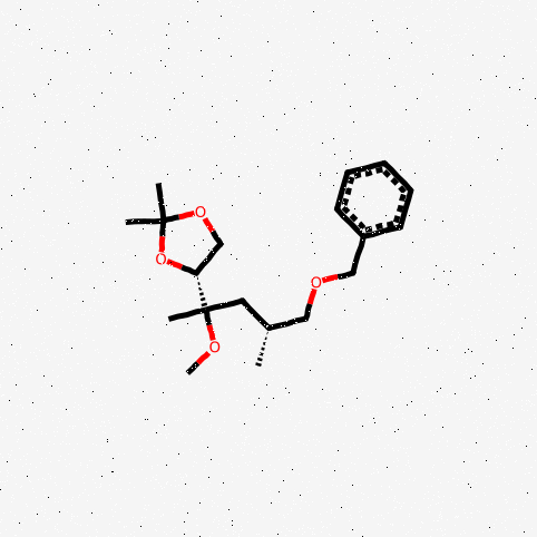 COC(C)(C[C@@H](C)COCc1ccccc1)[C@H]1COC(C)(C)O1